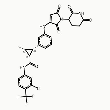 C[C@H]1[C@@H](C(=O)Nc2ccc(C(F)(F)F)c(Cl)c2)[C@H]1c1cccc(NC2=CC(=O)N(C3CCC(=O)NC3=O)C2=O)c1